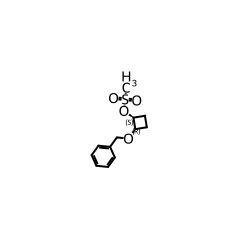 CS(=O)(=O)O[C@H]1CC[C@H]1OCc1ccccc1